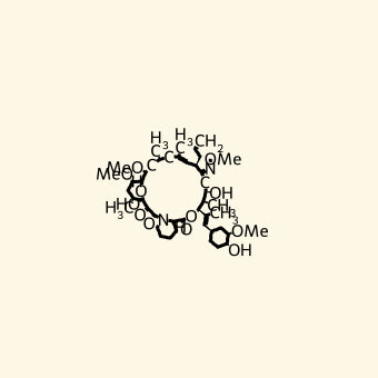 C=CC[C@@H]1/C=C(\C)C[C@H](C)C[C@H](OC)[C@H]2O[C@@](O)(C(=O)C(=O)N3CCCC[C@H]3C(=O)O[C@H](/C(C)=C/[C@@H]3CC[C@@H](O)[C@H](OC)C3)[C@H](C)[C@@H](O)C/C1=N/OC)[C@H](C)C[C@@H]2OC